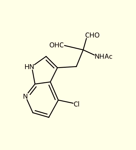 CC(=O)NC(C=O)(C=O)Cc1c[nH]c2nccc(Cl)c12